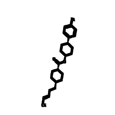 CCc1ccc([C@H]2CC[C@H](OC(=O)[C@H]3CC[C@H](CCC=CC#N)CC3)CC2)cc1